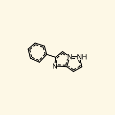 c1ccc(-c2cn3[nH]ccc3n2)cc1